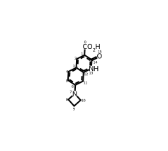 O=C(O)c1cc2ccc(N3CCC3)cc2[nH]c1=O